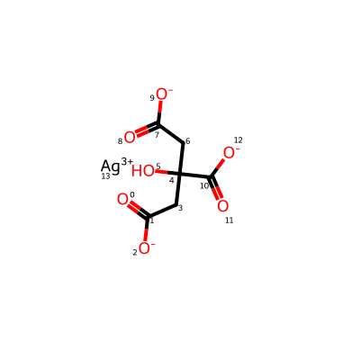 O=C([O-])CC(O)(CC(=O)[O-])C(=O)[O-].[Ag+3]